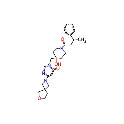 C[C@H](CC(=O)N1CCC(O)(Cn2cnc(N3CC4(CCOC4)C3)cc2=O)CC1)c1ccccc1